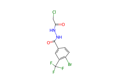 O=C(CCl)NNC(=O)c1ccc(Br)c(C(F)(F)F)c1